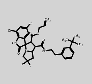 C=CCOC(=O)C1C(C(=O)NCCc2cccc(C(C)(C)C)c2)C2CC(F)(F)CN2C12C(=O)Nc1c(Cl)cc(Cl)cc12